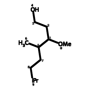 COC(CCO)C(C)CCC(C)C